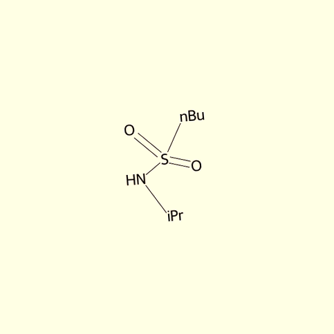 [CH2]C(C)NS(=O)(=O)CCCC